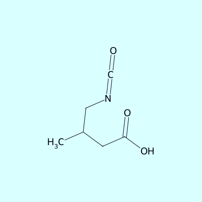 CC(CN=C=O)CC(=O)O